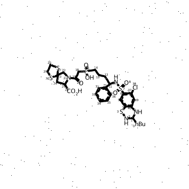 CCCCC1NSc2cc(S(=O)(=O)NC(CCCP(=O)(O)CC(=O)N3CC4(CC3C(=O)O)SCCS4)c3ccccc3)c(Cl)cc2N1